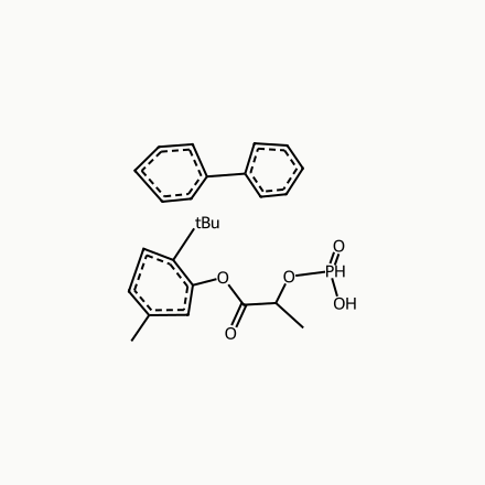 Cc1ccc(C(C)(C)C)c(OC(=O)C(C)O[PH](=O)O)c1.c1ccc(-c2ccccc2)cc1